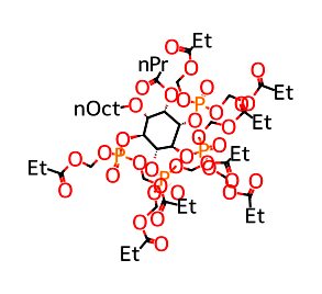 CCCCCCCCO[C@@H]1[C@H](OC(=O)CCC)[C@H](OP(=O)(OCOC(=O)CC)OCOC(=O)CC)[C@@H](OP(=O)(OCOC(=O)CC)OCOC(=O)CC)[C@H](OP(=O)(OCOC(=O)CC)OCOC(=O)CC)[C@H]1OP(=O)(OCOC(=O)CC)OCOC(=O)CC